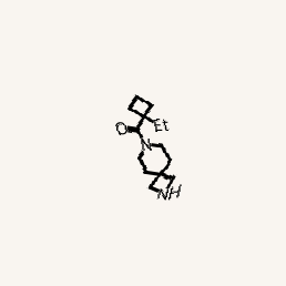 CCC1(C(=O)N2CCC3(CC2)CNC3)CCC1